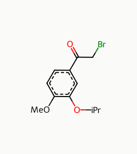 COc1ccc(C(=O)CBr)cc1OC(C)C